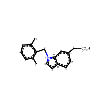 Cc1cccc(C)c1Cn1ccc2ccc(CC(=O)O)cc21